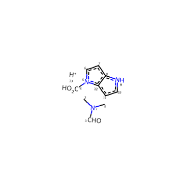 CN(C)C=O.O=C(O)n1ccc2[nH]ccc21.[H+]